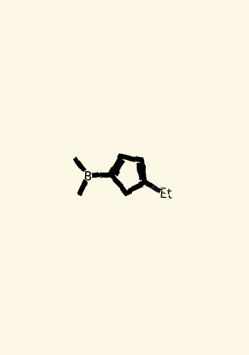 CCC1=CC=C(B(C)C)C1